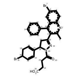 Cc1nc2ccc(Br)cc2c(-c2ccccc2)c1C1=NN(C(=O)CCC(=O)O)C(C2=CCC(Br)C=C2)C1